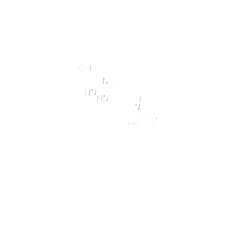 C=CC(CC(C)O)NC1N=CCC(C2C=C(C)C=C(NC(O)C3=CCCO3)C2)N1